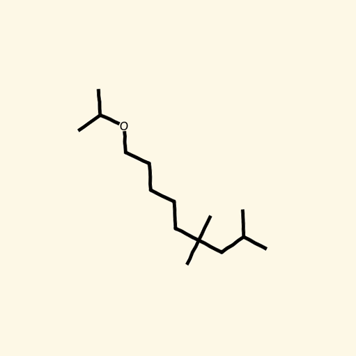 CC(C)CC(C)(C)CCCCCOC(C)C